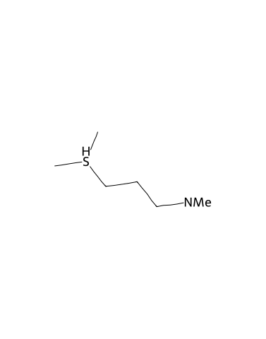 CNCCC[SH](C)C